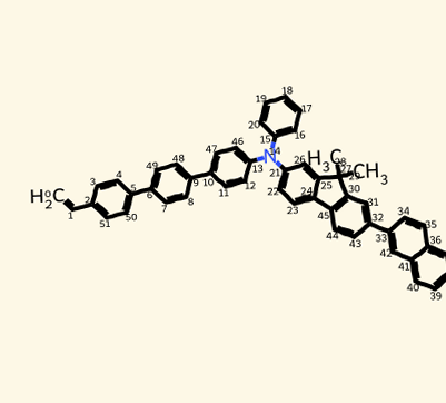 C=Cc1ccc(-c2ccc(-c3ccc(N(c4ccccc4)c4ccc5c(c4)C(C)(C)c4cc(-c6ccc7ccccc7c6)ccc4-5)cc3)cc2)cc1